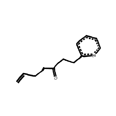 C=CCCC(=O)CCc1ccccn1